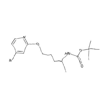 CC(CCCOc1cc(Br)ccn1)NC(=O)OC(C)(C)C